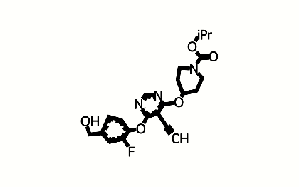 C#Cc1c(Oc2ccc(CO)cc2F)ncnc1OC1CCN(C(=O)OC(C)C)CC1